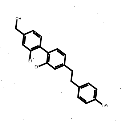 CCCc1ccc(CCc2ccc(-c3ccc(CO)cc3CC)c(CC)c2)cc1